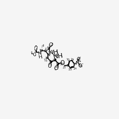 COC(=O)N[C@H](C)[C@H]1C(=O)N[C@@H]1[C@@H](C)C(=O)C(=N)C(=O)OCc1ccc([N+](=O)[O-])cc1